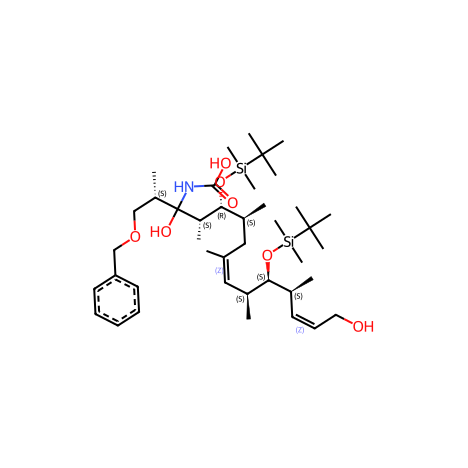 C/C(=C/[C@H](C)[C@@H](O[Si](C)(C)C(C)(C)C)[C@@H](C)/C=C\CO)C[C@H](C)[C@@H](O[Si](C)(C)C(C)(C)C)[C@H](C)C(O)(NC(=O)O)[C@@H](C)COCc1ccccc1